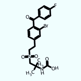 CC(C)(CS(=O)(=O)CCc1ccc(C(=O)c2ccc(F)cc2)c(Br)c1)NC(=O)O